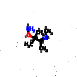 CN=C(C)C(C)(C)ON